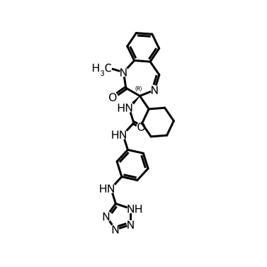 CN1C(=O)[C@@](NC(=O)Nc2cccc(Nc3nnn[nH]3)c2)(C2CCCCC2)N=Cc2ccccc21